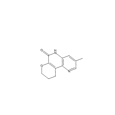 Cc1cnc2c3c(c(=O)[nH]c2c1)OCCC3